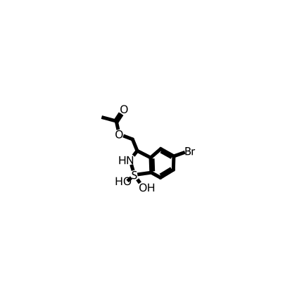 CC(=O)OCC1NS(O)(O)c2ccc(Br)cc21